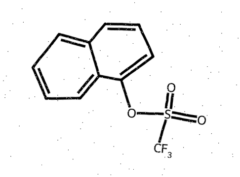 O=S(=O)(Oc1cccc2ccccc12)C(F)(F)F